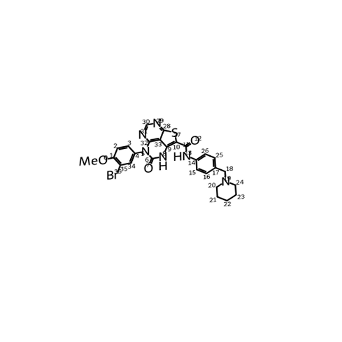 COc1ccc(N2C(=O)Nc3c(C(=O)Nc4ccc(CN5CCCCC5)cc4)sc4ncnc2c34)cc1Br